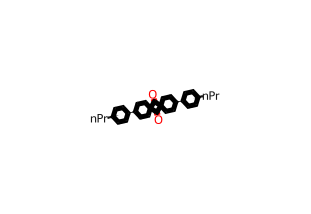 CCC[C@H]1CC[C@H](C2CCC3(CC2)C(=O)C2(CCC([C@H]4CC[C@H](CCC)CC4)CC2)C3=O)CC1